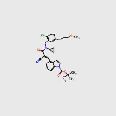 COCCCc1ccc(Cl)c(CN(C(=O)/C(C#N)=C/c2cccc3c2ccn3C(=O)OC(C)(C)C)C2CC2)c1